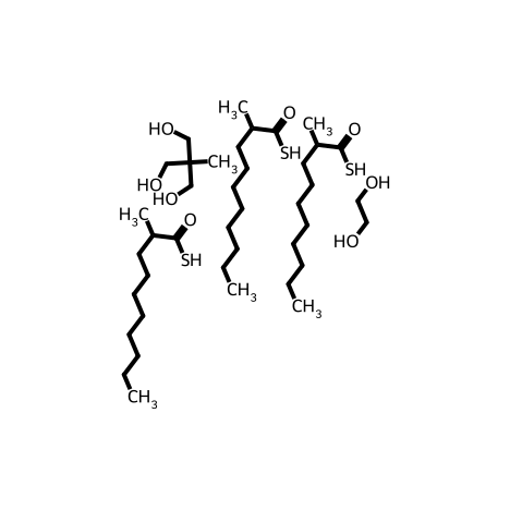 CC(CO)(CO)CO.CCCCCCCCC(C)C(=O)S.CCCCCCCCC(C)C(=O)S.CCCCCCCCC(C)C(=O)S.OCCO